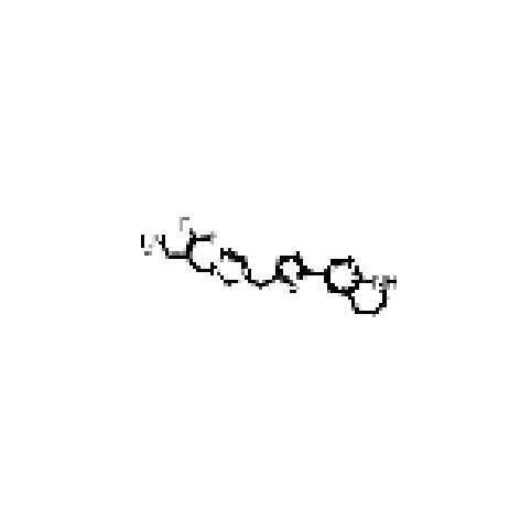 NCC(CN1CN(Cc2ccc(-c3cnc4c(c3)CCCN4)s2)C=N1)=C(F)F